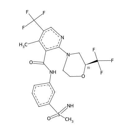 Cc1c(C(F)(F)F)cnc(N2CCO[C@H](C(F)(F)F)C2)c1C(=O)Nc1cccc(S(C)(=N)=O)c1